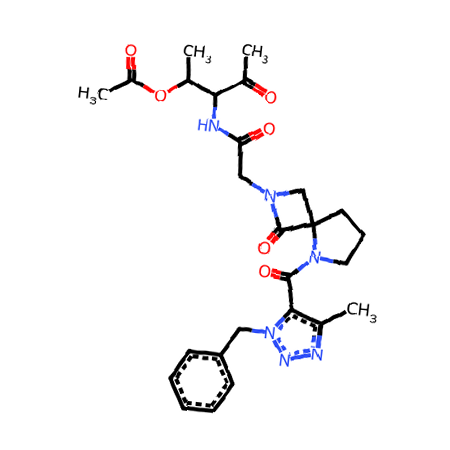 CC(=O)OC(C)C(NC(=O)CN1CC2(CCCN2C(=O)c2c(C)nnn2Cc2ccccc2)C1=O)C(C)=O